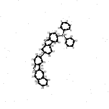 c1ccc(N(c2ccccc2)c2ccc3sc4cc(-c5ccc6sc7cc8ccccc8cc7c6c5)ccc4c3c2)cc1